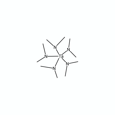 C[N](C)[Ta]([N](C)C)([N](C)C)([N](C)C)[N](C)C